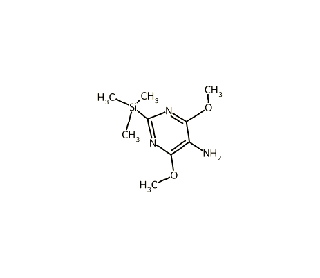 COc1nc([Si](C)(C)C)nc(OC)c1N